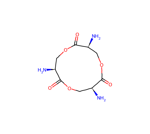 N[C@H]1COC(=O)[C@@H](N)COC(=O)[C@@H](N)COC1=O